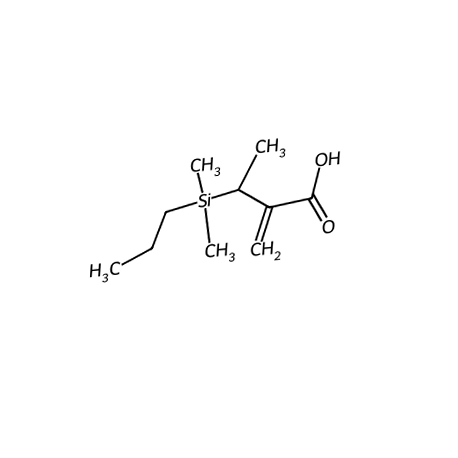 C=C(C(=O)O)C(C)[Si](C)(C)CCC